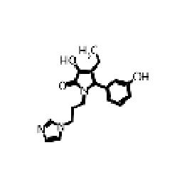 CCC1=C(O)C(=O)N(CCCn2ccnc2)C1c1cccc(O)c1